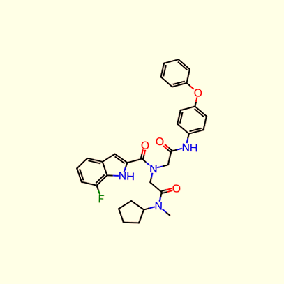 CN(C(=O)CN(CC(=O)Nc1ccc(Oc2ccccc2)cc1)C(=O)c1cc2cccc(F)c2[nH]1)C1CCCC1